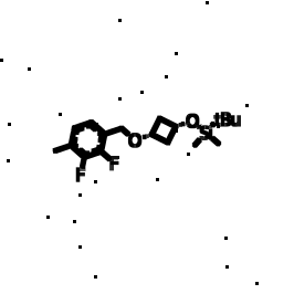 Cc1ccc(CO[C@H]2C[C@@H](O[Si](C)(C)C(C)(C)C)C2)c(F)c1F